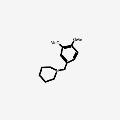 COc1ccc(CN2CC[CH]CC2)cc1OC